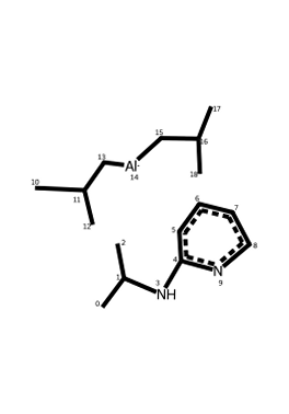 CC(C)Nc1ccccn1.CC(C)[CH2][Al][CH2]C(C)C